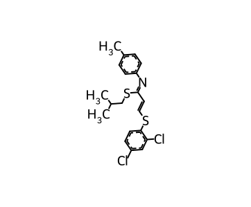 Cc1ccc(N=C(C=CSc2ccc(Cl)cc2Cl)SCC(C)C)cc1